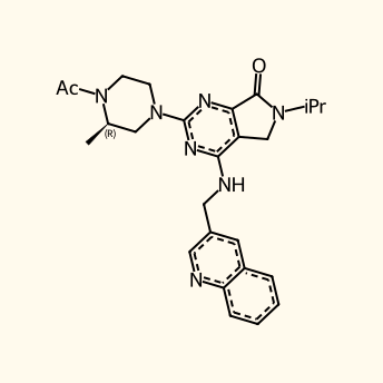 CC(=O)N1CCN(c2nc(NCc3cnc4ccccc4c3)c3c(n2)C(=O)N(C(C)C)C3)C[C@H]1C